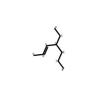 C[CH]C(C=CC)CCC